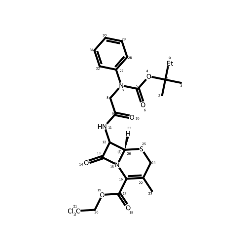 CCC(C)(C)OC(=O)N(CC(=O)NC1C(=O)N2C(C(=O)OCC(Cl)(Cl)Cl)=C(C)CS[C@@H]12)c1ccccc1